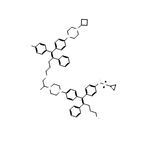 CC(COCCC/C(=C(\c1ccc(O)cc1)c1ccc(N2CCN(C3CCC3)CC2)cc1)c1ccccc1)N1CCN(c2ccc(/C(=C(/CCCO)c3ccccc3)c3ccc(NS(=O)(=O)C4CC4)cc3)cc2)CC1